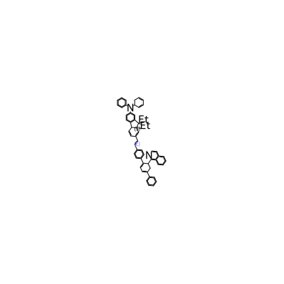 CCC1(CC)c2cc(N(c3ccccc3)C3C=CC=CC3)ccc2C2C=CC(/C=C/c3ccc(C4=CC=C(c5ccccc5)CC4c4nccc5ccccc45)cc3)=C[C@]21C